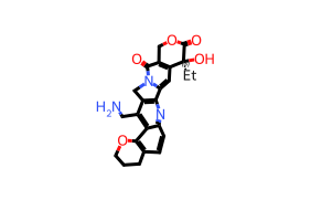 CC[C@@]1(O)C(=O)OCc2c1cc1n(c2=O)Cc2c-1nc1ccc3c(c1c2CN)OCCC3